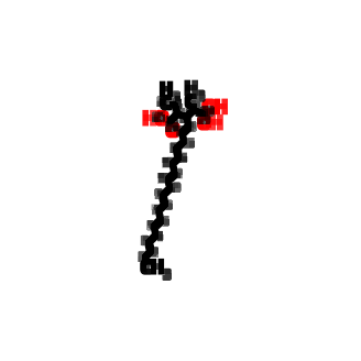 CCC=CCC=CCC=CCC=CCC=CCC=CC(C(CC)C(=O)O)C(C)C(O)O